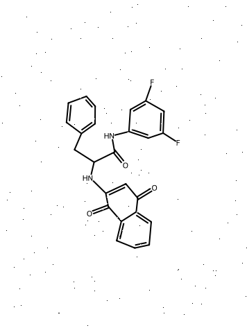 O=C1C=C(NC(Cc2ccccc2)C(=O)Nc2cc(F)cc(F)c2)C(=O)c2ccccc21